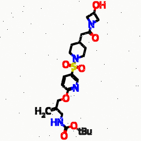 C=C(CNC(=O)OC(C)(C)C)COc1ccc(S(=O)(=O)N2CCC(CC(=O)N3CC(O)C3)CC2)cn1